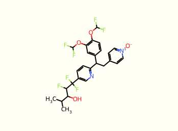 CC(C)C(O)C(F)C(F)(F)c1ccc(C(Cc2cc[n+]([O-])cc2)c2ccc(OC(F)F)c(OC(F)F)c2)nc1